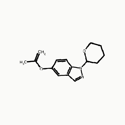 C=C(C)Oc1ccc2c(cnn2C2CCCCO2)c1